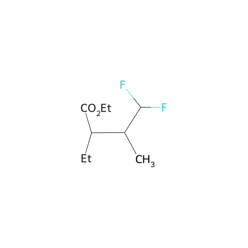 CCOC(=O)C(CC)C(C)C(F)F